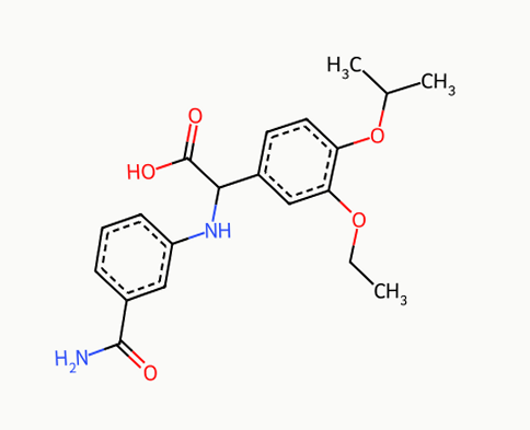 CCOc1cc(C(Nc2cccc(C(N)=O)c2)C(=O)O)ccc1OC(C)C